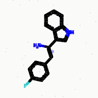 N/C(=C\c1ccc(F)cc1)c1c[nH]c2ccccc12